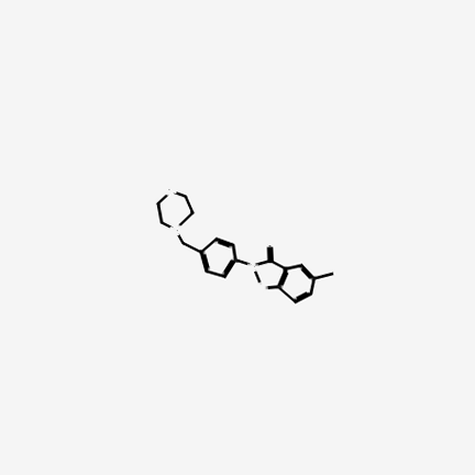 Cc1ccc2on(-c3ccc(CN4CCNCC4)cc3)c(=O)c2c1